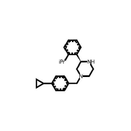 CC(C)c1ccccc1[C@@H]1CN(Cc2ccc(C3CC3)cc2)CCN1